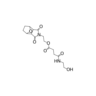 O=C(CCC(=O)OCCN1C(=O)C2C3CCC(O3)C2C1=O)NCCO